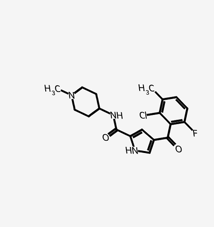 Cc1ccc(F)c(C(=O)c2c[nH]c(C(=O)NC3CCN(C)CC3)c2)c1Cl